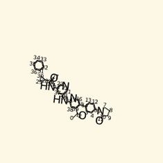 CC1Oc2cc(N3CCCC3=O)ccc2-c2cnc(Nc3cncc(NC(=O)C4C[C@@H]4c4ccccc4)c3)cc21